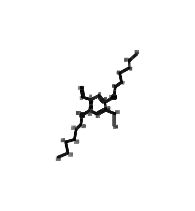 C=Cc1cc(OCCCCCC)c(C=C)cc1OCCCCCC